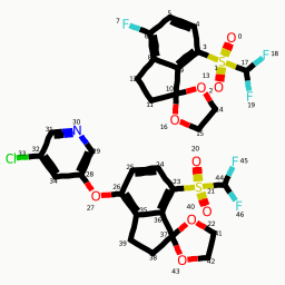 O=S(=O)(c1ccc(F)c2c1C1(CC2)OCCO1)C(F)F.O=S(=O)(c1ccc(Oc2cncc(Cl)c2)c2c1C1(CC2)OCCO1)C(F)F